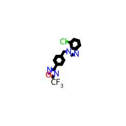 FC(F)(F)c1nc(-c2ccc(Cn3cnc4cccc(Cl)c43)cc2)no1